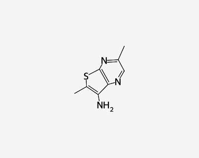 Cc1cnc2c(N)c(C)sc2n1